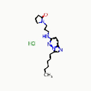 CCCCC=Cc1cnc2ccc(NCCCN3CCCC3=O)nn12.Cl